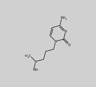 CN(CCCn1ccc(N)nc1=O)C(C)(C)C